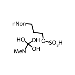 CCCCCCCCCCCCOS(=O)(=O)O.CNC(O)(O)O